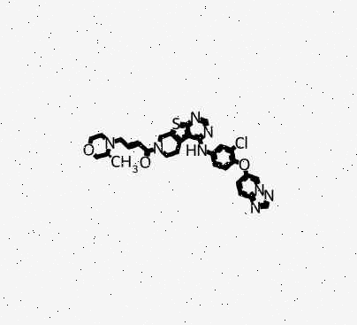 C[C@H]1COCCN1C/C=C/C(=O)N1CCc2c(sc3ncnc(Nc4ccc(Oc5ccc6ncnn6c5)c(Cl)c4)c23)C1